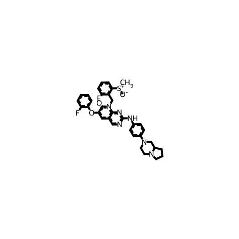 C[S+]([O-])c1cccc(F)c1Cn1c(=O)c(Oc2ccccc2F)cc2cnc(Nc3ccc(N4CCN5CCCC5C4)cc3)nc21